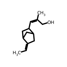 CC=C1CC2CC1CC2C=C(C)CO